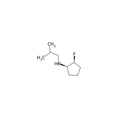 CC(C)CN[C@@H]1CCC[C@@H]1F